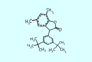 Cc1cc(C)c2c(c1)C(c1cc(C(C)(C)C)cc(C(C)(C)C)c1)C(=O)O2